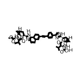 COC(=O)N[C@H](C(=O)N1[C@@H]2C[C@@H]2C[C@H]1c1nc2ccc3cc(C#Cc4ccc(-c5c[nH]c([C@@H]6C[C@H]7C[C@H]7N6C(=O)[C@@H](NC(=O)O)C(C)C)n5)cc4)ccc3c2[nH]1)C(C)C